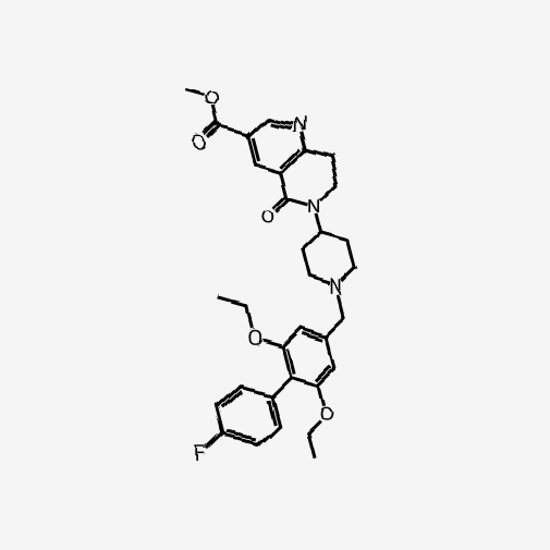 CCOc1cc(CN2CCC(N3CCc4ncc(C(=O)OC)cc4C3=O)CC2)cc(OCC)c1-c1ccc(F)cc1